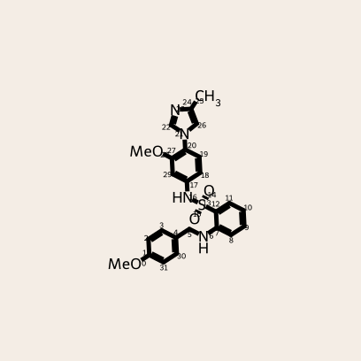 COc1ccc(CNc2ccccc2S(=O)(=O)Nc2ccc(-n3cnc(C)c3)c(OC)c2)cc1